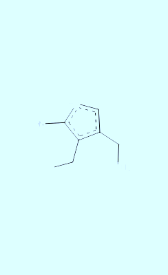 CCc1c[pH]c([N])c1CC